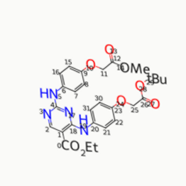 CCOC(=O)c1cnc(Nc2ccc(OCC(=O)OC)cc2)nc1Nc1ccc(OCC(=O)OC(C)(C)C)cc1